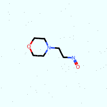 O=NCCN1CCOCC1